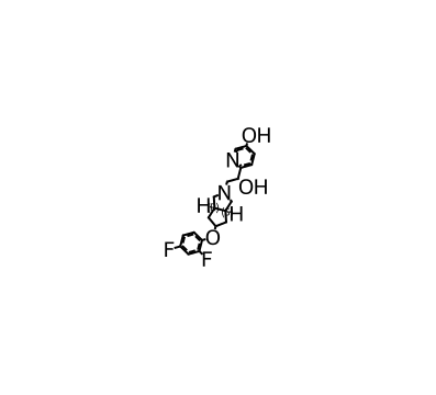 Oc1ccc(C(O)CN2C[C@H]3CC(Oc4ccc(F)cc4F)C[C@H]3C2)nc1